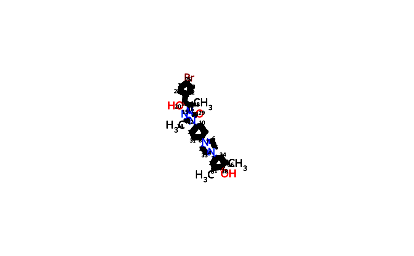 Cc1cc(N2CCN(c3ccc(-n4c(C)nn(C(C)C(O)c5ccc(Br)cc5)c4=O)cc3)CC2)cc(C)c1O